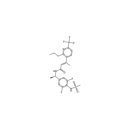 CCCc1nc(C(F)(F)F)ccc1/C(C)=C/C(=O)N[C@H](C)c1cc(F)c(NS(C)(=O)=O)c(F)c1